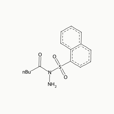 CCCCC(=O)N(N)S(=O)(=O)c1cccc2ccccc12